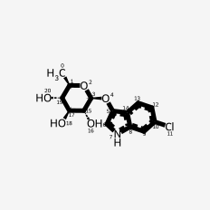 C[C@H]1O[C@@H](Oc2c[nH]c3cc(Cl)ccc23)[C@H](O)[C@@H](O)[C@@H]1O